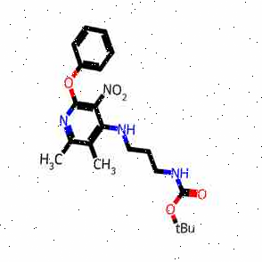 Cc1nc(Oc2ccccc2)c([N+](=O)[O-])c(NCCCNC(=O)OC(C)(C)C)c1C